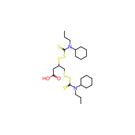 CCCN(C(=S)SSCC(CC(=O)O)SSC(=S)N(CCC)C1CCCCC1)C1CCCCC1